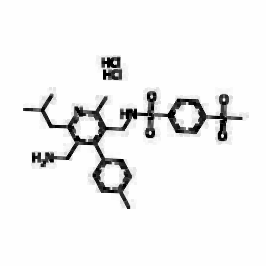 Cc1ccc(-c2c(CNS(=O)(=O)c3ccc(S(C)(=O)=O)cc3)c(C)nc(CC(C)C)c2CN)cc1.Cl.Cl